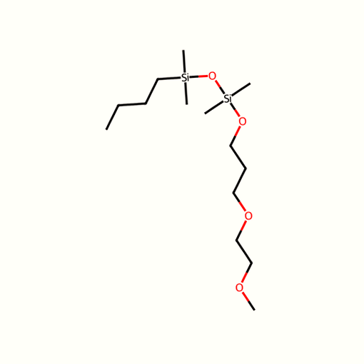 CCCC[Si](C)(C)O[Si](C)(C)OCCCOCCOC